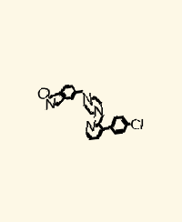 O=C1N=Cc2cc(CN3CCN(Cc4ncccc4-c4ccc(Cl)cc4)CC3)ccc21